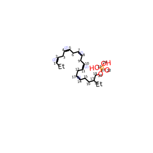 CC/C=C\C/C=C\C/C=C\C/C=C\C/C=C\CCC(CC)COP(=O)(O)O